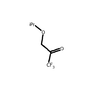 CC(C)OCC(=O)C(F)(F)F